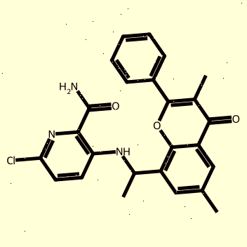 Cc1cc(C(C)Nc2ccc(Cl)nc2C(N)=O)c2oc(-c3ccccc3)c(C)c(=O)c2c1